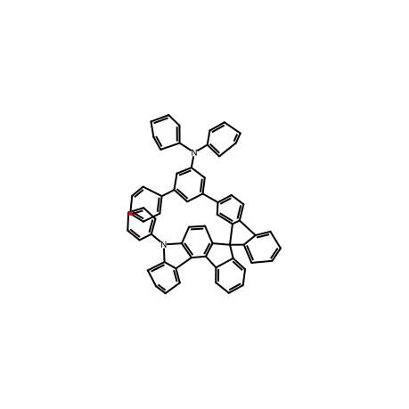 c1ccc(-c2cc(-c3ccc4c(c3)C3(c5ccccc5-4)c4ccccc4-c4c3ccc3c4c4ccccc4n3-c3ccccc3)cc(N(c3ccccc3)c3ccccc3)c2)cc1